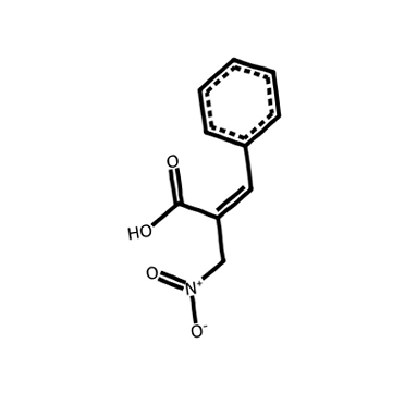 O=C(O)C(=Cc1ccccc1)C[N+](=O)[O-]